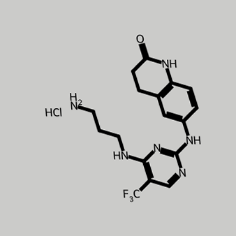 Cl.NCCCNc1nc(Nc2ccc3c(c2)CCC(=O)N3)ncc1C(F)(F)F